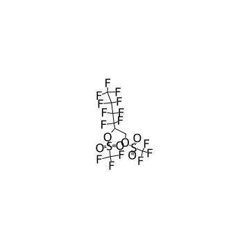 O=S(=O)(OCC(OS(=O)(=O)C(F)(F)F)C(F)(F)C(F)(F)C(F)(F)C(F)(F)F)C(F)(F)F